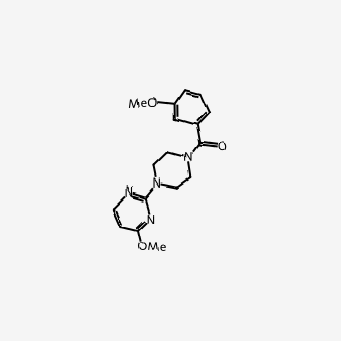 COc1cccc(C(=O)N2CCN(c3nccc(OC)n3)CC2)c1